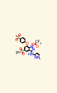 CC(C)S(=O)(=O)c1cc(Oc2ccc(S(C)(=O)=O)cc2)c2c(c1)c(Nc1ccn(C)n1)nn2OC(=O)C(F)(F)F